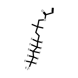 C=CC(=O)OCC(C)(C)CCC(F)(F)C(F)(F)C(F)(F)C(F)(F)C(F)(F)C(F)(F)F